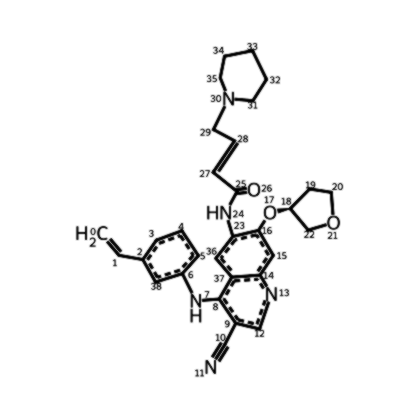 C=Cc1cccc(Nc2c(C#N)cnc3cc(O[C@H]4CCOC4)c(NC(=O)/C=C/CN4CCCCC4)cc23)c1